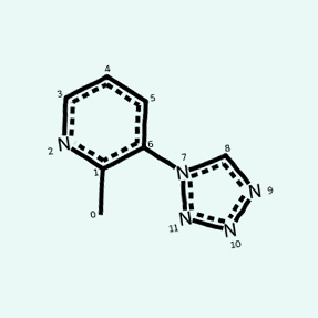 Cc1ncccc1-n1cnnn1